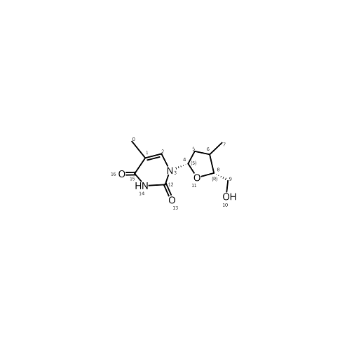 Cc1cn([C@@H]2CC(C)[C@H](CO)O2)c(=O)[nH]c1=O